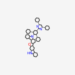 c1ccc(-c2cc(-c3ccccc3)nc(-c3cc(-c4ccccc4)c(-n4c5ccccc5c5c6oc7cc8[nH]c9ccccc9c8cc7c6ccc54)c(-c4ccccc4)c3)n2)cc1